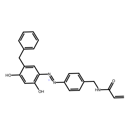 C=CC(=O)NCc1ccc(/N=N/c2cc(Cc3ccccc3)c(O)cc2O)cc1